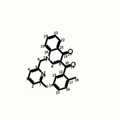 Cc1cccc(Cn2cc(C(=O)c3ccccc3C)c(=O)c3ccccc32)n1